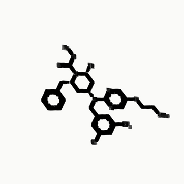 CC[C@@H]1C[C@H](N(Cc2cc(Cl)cc(C(F)(F)F)c2)c2ncc(OCCSC)cn2)C[C@H](Cc2ccccc2)N1C(=O)OC(C)C